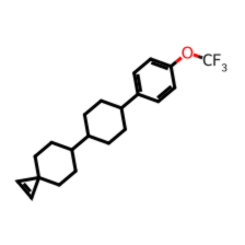 FC(F)(F)Oc1ccc(C2CCC(C3CCC4(C=C4)CC3)CC2)cc1